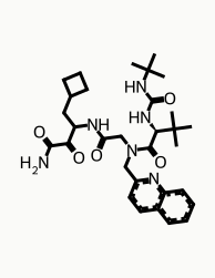 CC(C)(C)NC(=O)N[C@H](C(=O)N(CC(=O)NC(CC1CCC1)C(=O)C(N)=O)Cc1ccc2ccccc2n1)C(C)(C)C